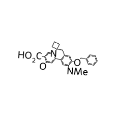 CNc1cc2c(cc1OCc1ccccc1)CC1(CCC1)n1cc(C(=O)O)c(=O)cc1-2